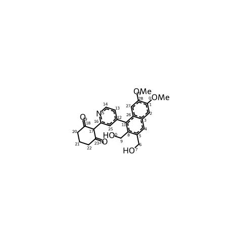 COc1cc2cc(CO)c(CO)c(-c3ccnc(C4C(=O)CCCC4=O)c3)c2cc1OC